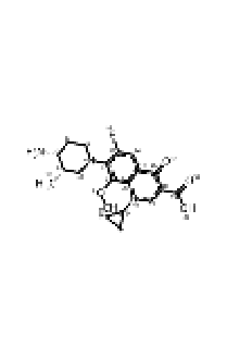 COc1c(N2CC[C@@H](N)[C@@H](C)C2)c(F)cc2c(=O)c(C(=O)O)cn(C3CC3)c12